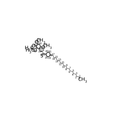 CCCCCCCCCCCCCCCCCCc1ccc(C(=S)C=Cc2c(OC)cc(OC)c(OC)c2OC)cc1